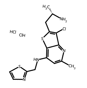 Cc1cc(NCc2nccs2)c2sc(C[C@H](C)N)c(Cl)c2n1.Cl.Cl